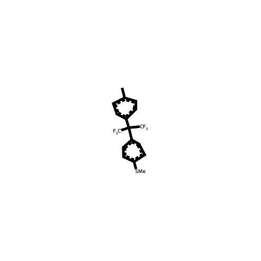 CSc1ccc(C(c2ccc(C)cc2)(C(F)(F)F)C(F)(F)F)cc1